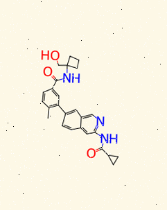 Cc1ccc(C(=O)NC2(CO)CCC2)cc1-c1ccc2cc(NC(=O)C3CC3)ncc2c1